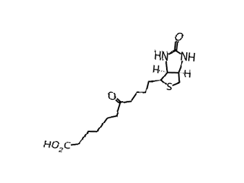 O=C(O)CCCCCC(=O)CCCC[C@@H]1SC[C@@H]2NC(=O)N[C@@H]21